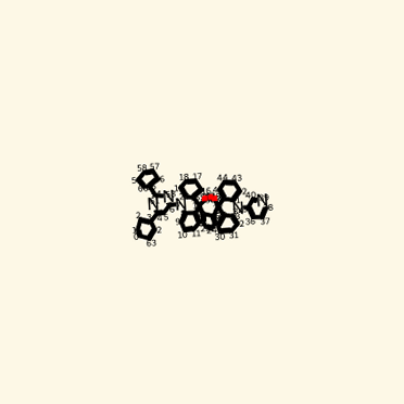 c1ccc(-c2cc(N3c4ccccc4C4(c5ccccc53)c3ccccc3C3(c5ccccc5N(c5cccnc5)c5ccccc53)c3ccccc34)nc(-c3ccccc3)n2)cc1